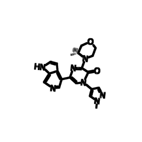 C[C@@H]1COCCN1c1nc(-c2cncc3[nH]ccc23)cn(-c2cnn(C)c2)c1=O